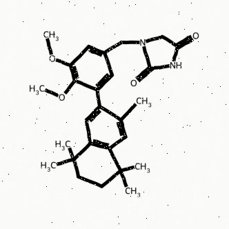 COc1cc(CN2CC(=O)NC2=O)cc(-c2cc3c(cc2C)C(C)(C)CCC3(C)C)c1OC